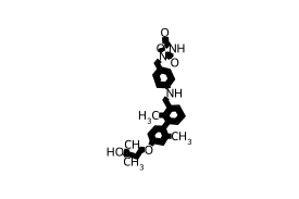 Cc1cc(OCCC(C)(C)O)ccc1-c1cccc(CNc2ccc(Cn3oc(=O)[nH]c3=O)cc2)c1C